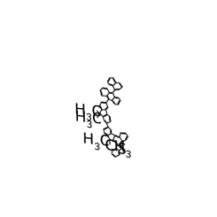 CC1(C)c2ccc(-c3c4ccccc4c(-c4cccc5ccccc45)c4ccccc34)cc2-c2ccc(-c3ccc4c(c3)-c3c(c5c6ccccc6sc5c5ccccc35)C4(C)C)cc21